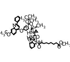 C=C[C@@H]1C[C@]1(NC(=O)[C@@H]1C[C@@H](Oc2cc(-c3ccccc3)nc3cc(OC)ccc23)CN1C(=O)OC(C)(C)C)C(=O)NS(=O)(=O)c1ccccc1NC(=O)CCCCCCCC(=O)OC